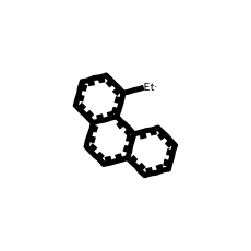 C[CH]c1cccc2ccc3ccccc3c12